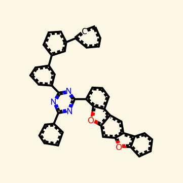 c1ccc(-c2cccc(-c3cccc(-c4nc(-c5ccccc5)nc(-c5cccc6c5oc5cc7oc8ccccc8c7cc56)n4)c3)c2)cc1